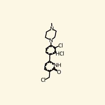 CN1CCN(c2ccc(-c3ccc(CCl)c(=O)[nH]3)cc2Cl)CC1.Cl